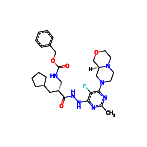 Cc1nc(NNC(=O)[C@@H](CNC(=O)OCc2ccccc2)CC2CCCC2)c(F)c(N2CCN3CCOC[C@@H]3C2)n1